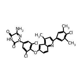 Cc1cc(-c2cc(C)c3cc(Oc4c(Cl)cc(-n5nc(N)c(=O)[nH]c5=O)cc4Cl)ccc3n2)cc(C)c1Cl